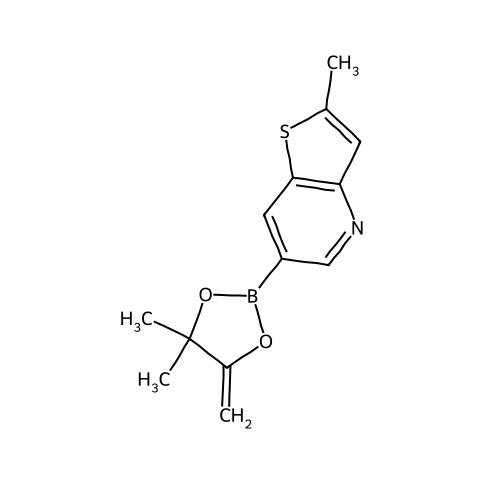 C=C1OB(c2cnc3cc(C)sc3c2)OC1(C)C